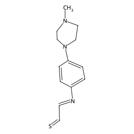 CN1CCN(c2ccc(N=CC=S)cc2)CC1